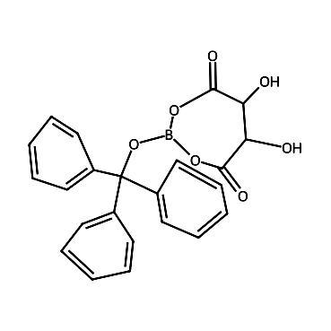 O=C1OB(OC(c2ccccc2)(c2ccccc2)c2ccccc2)OC(=O)C(O)C1O